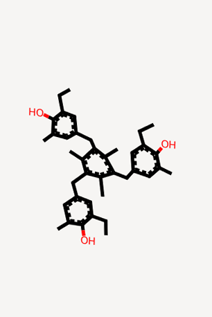 CCc1cc(Cc2c(C)c(Cc3cc(C)c(O)c(CC)c3)c(C)c(Cc3cc(C)c(O)c(CC)c3)c2C)cc(C)c1O